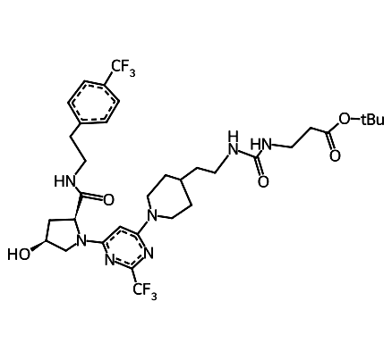 CC(C)(C)OC(=O)CCNC(=O)NCCC1CCN(c2cc(N3C[C@@H](O)C[C@H]3C(=O)NCCc3ccc(C(F)(F)F)cc3)nc(C(F)(F)F)n2)CC1